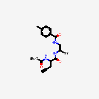 C#CCC(NC(=O)OCC(C)C)C(=O)NC(CNC(=O)c1ccc(C)cc1)C(C)C